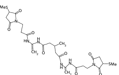 C=C(NC(=O)CCN1C(=O)CC(SC)C1=O)NC(=O)CC(C)CC(=O)NC(=C)NC(=O)CCN1C(=O)CC(SC)C1=O